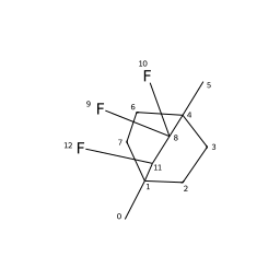 CC12CCC(C)(CC1)C(F)(F)C2F